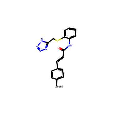 CCCCCc1ccc(C=CC(=O)Nc2ccccc2SCc2nnn[nH]2)cc1